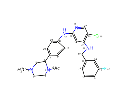 CC(=O)N1CCN(C)CC1c1ccc(Nc2cc(NCc3cccc(F)c3)c(Cl)cn2)cc1